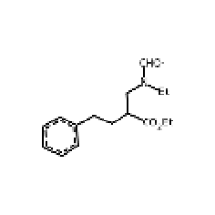 CCOC(=O)C(CCc1ccccc1)CN([C]=O)CC